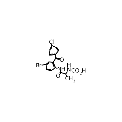 CC(NC(=O)O)C(=O)Nc1ccc(Br)cc1C(=O)c1ccc(Cl)cc1